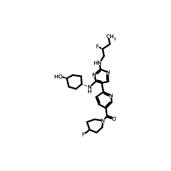 CC[C@H](F)CNc1ncc(-c2ccc(C(=O)N3CCC(F)CC3)cn2)c(N[C@H]2CC[C@H](O)CC2)n1